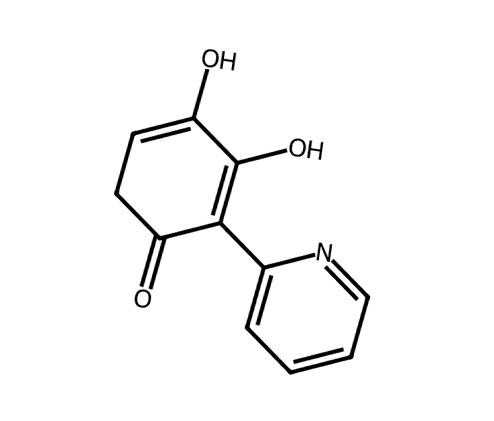 O=C1CC=C(O)C(O)=C1c1ccccn1